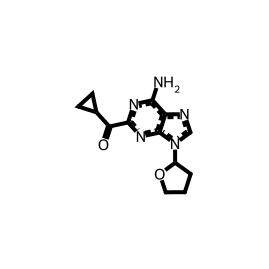 Nc1nc(C(=O)C2CC2)nc2c1ncn2C1CCCO1